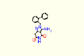 Nc1c2c(nn1Cc1ccccc1-c1ccccc1)CC(=O)NC2=O